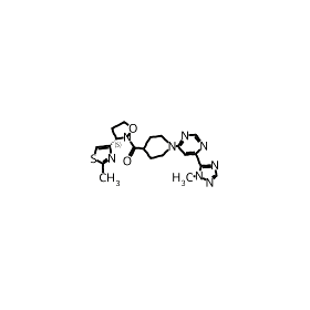 Cc1nc([C@@H]2CCON2C(=O)C2CCN(c3cc(-c4ncnn4C)ncn3)CC2)cs1